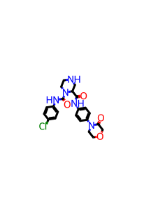 O=C(Nc1ccc(N2CCOCC2=O)cc1)C1CNCCN1C(=O)Nc1ccc(Cl)cc1